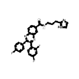 O=C(NCCCc1ncc[nH]1)c1ccc2nc(-c3ccc(F)cc3)c(-c3ccc(F)cc3F)nc2c1